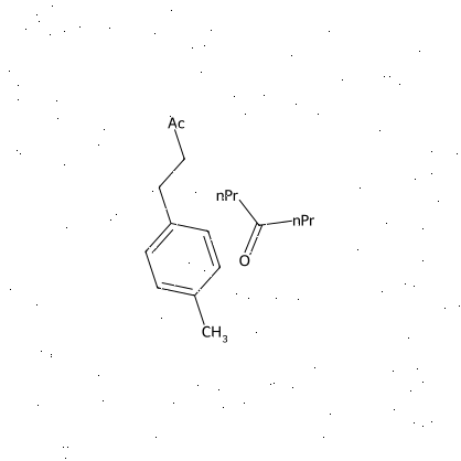 CC(=O)CCc1ccc(C)cc1.CCCC(=O)CCC